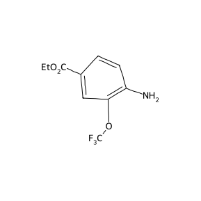 CCOC(=O)c1ccc(N)c(OC(F)(F)F)c1